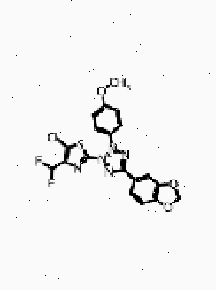 COc1ccc(-n2nc(-c3ccc4c(c3)OCO4)n[n+]2-c2nc(C(F)F)c(Cl)s2)cc1